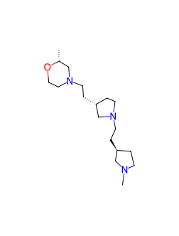 C[C@@H]1CN(CC[C@@H]2CCN(CC[C@H]3CCN(C)C3)C2)CCO1